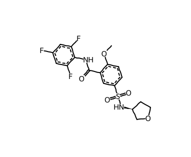 COc1ccc(S(=O)(=O)N[C@H]2CCOC2)cc1C(=O)Nc1c(F)cc(F)cc1F